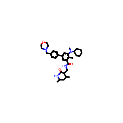 Cc1c(C(=O)NCC2C(=O)NC(C)CC2C)cc(-c2ccc(CN3CCOCC3)cc2)cc1N(C)C1CCCCC1